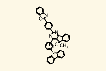 CC1(C)c2ccccc2-c2nc(-c3ccc(-c4nc5ccccc5o4)cc3)nc(-c3cccc(-n4c5ccccc5c5ccccc54)c3)c21